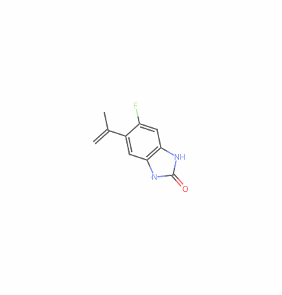 C=C(C)c1cc2c(cc1F)NC(=O)[N]2